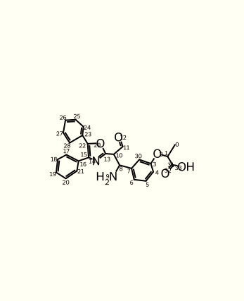 CC(Oc1cccc(C(N)C(C=O)c2nc(-c3ccccc3)c(-c3ccccc3)o2)c1)C(=O)O